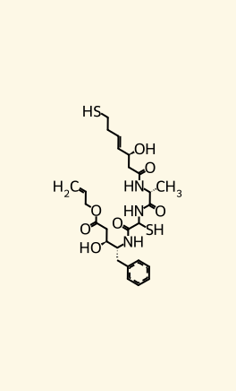 C=CCOC(=O)C[C@H](O)[C@@H](Cc1ccccc1)NC(=O)C(S)NC(=O)[C@@H](C)NC(=O)C[C@H](O)/C=C/CCS